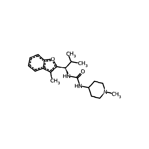 Cc1c([C@H](NC(=O)NC2CCN(C)CC2)C(C)C)oc2ccccc12